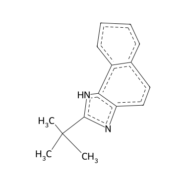 CC(C)(C)c1nc2ccc3ccccc3c2[nH]1